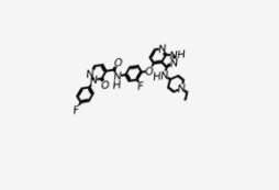 CCN1CCC(Nc2n[nH]c3nccc(Oc4ccc(NC(=O)c5ccnn(-c6ccc(F)cc6)c5=O)cc4F)c23)CC1